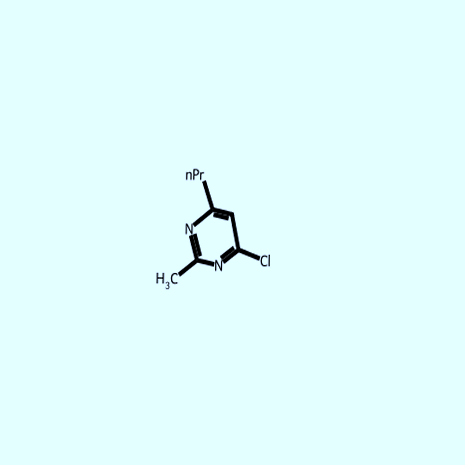 [CH2]CCc1cc(Cl)nc(C)n1